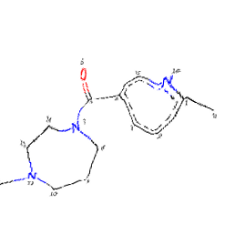 Cc1ccc(C(=O)N2CCCN(C)CC2)cn1